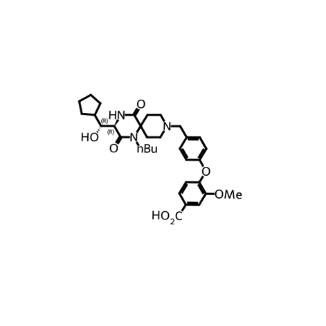 CCCCN1C(=O)[C@@H]([C@H](O)C2CCCC2)NC(=O)C12CCN(Cc1ccc(Oc3ccc(C(=O)O)cc3OC)cc1)CC2